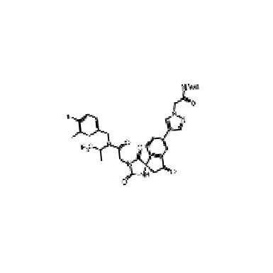 CNC(=O)Cn1cc(-c2ccc3c(c2)C(=O)C[C@]32NC(=O)N(CC(=O)N(CC3=CC=C(F)C(C)C3)[C@@H](C)C(F)(F)F)C2=O)cn1